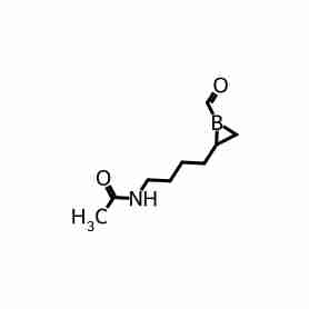 CC(=O)NCCCCC1CB1C=O